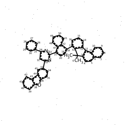 CC1(C)c2ccc3ccccc3c2-c2cccc(-c3ccc(-c4nc(-c5ccccc5)cc(-c5ccc6oc7ccccc7c6c5)n4)c4ccccc34)c21